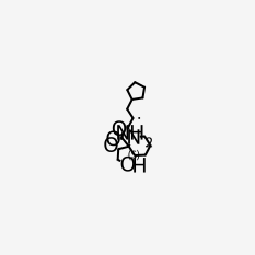 NC(=O)C12C(=O)CO[C@H]1CCCN2C(=O)[CH]CC1CCCC1